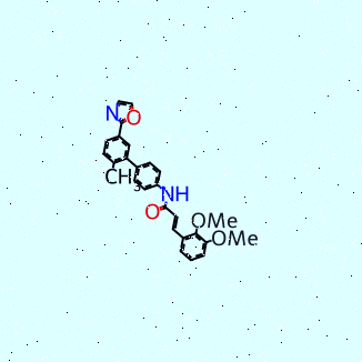 COc1cccc(C=CC(=O)Nc2ccc(-c3cc(-c4ncco4)ccc3C)cc2)c1OC